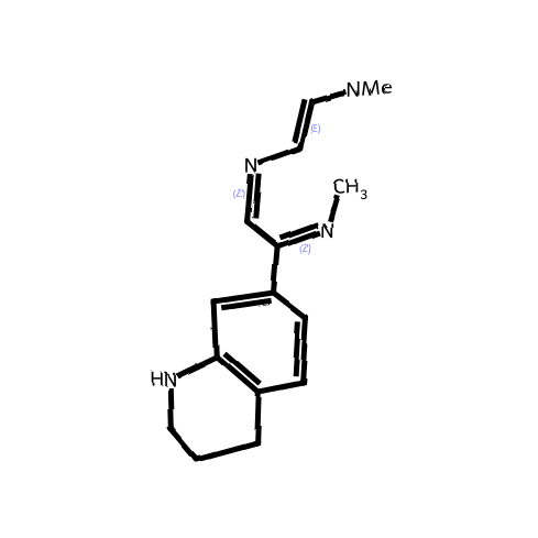 C\N=C(/C=N\C=C\NC)c1ccc2c(c1)NCCC2